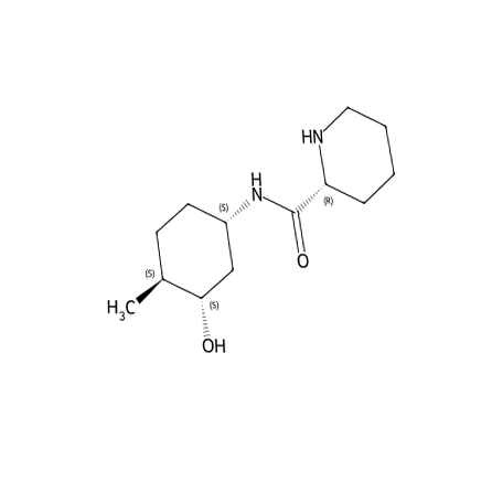 C[C@H]1CC[C@H](NC(=O)[C@H]2CCCCN2)C[C@@H]1O